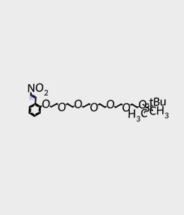 CC(C)(C)[Si](C)(C)OCCOCCOCCOCCOCCOCCOc1ccccc1/C=C/[N+](=O)[O-]